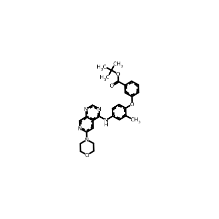 Cc1cc(Nc2ncnc3cnc(N4CCOCC4)cc23)ccc1Oc1cccc(C(=O)OC(C)(C)C)c1